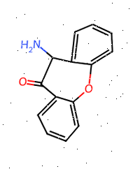 NC1C(=O)c2ccccc2Oc2ccccc21